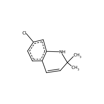 CC1(C)C=Cc2ccc(Cl)cc2N1